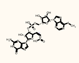 CSc1ncnc2c1ncn2[C@@H]1O[C@H](COP(=O)(O)O[C@@H]2C(/C=C\[PH](=O)O)O[C@@H](n3cnc4c(=O)[nH]c(N)nc43)[C@@H]2O)[C@@H](O)[C@H]1O